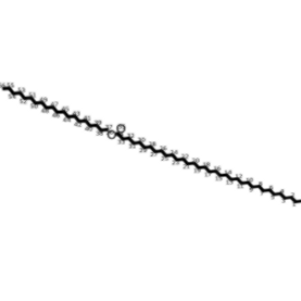 CCCCCCCCCCCCCCCCCCCCCCCCCCCCCCCCCCC(=O)OCCCCCCCCCCCCCCCCCCCC